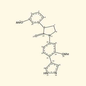 COc1cccc(C2CCN(c3ccc(-c4cn[nH]c4)c(OC)c3)C2=O)c1